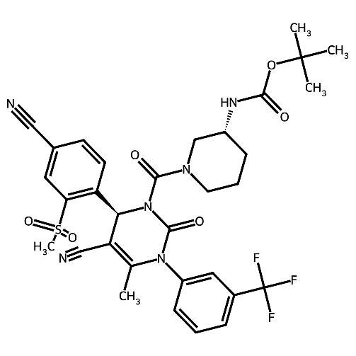 CC1=C(C#N)[C@@H](c2ccc(C#N)cc2S(C)(=O)=O)N(C(=O)N2CCC[C@@H](NC(=O)OC(C)(C)C)C2)C(=O)N1c1cccc(C(F)(F)F)c1